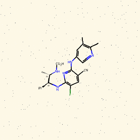 Cc1cc(Nc2nc(N[C@@H](C(C)C)[C@H](C)NC(=O)O)c(F)cc2C#N)cnc1C